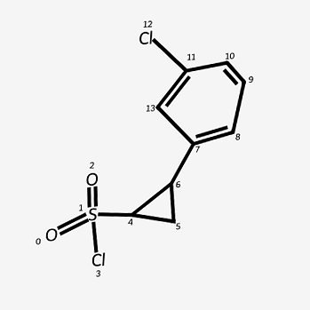 O=S(=O)(Cl)C1CC1c1cccc(Cl)c1